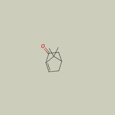 CC1(C)C2=CCC1CC2=O